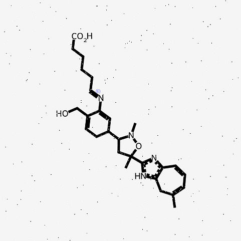 CC1=CC=Cc2nc(C3(C)CC(C4C=C(/N=C/CCCCC(=O)O)C(CO)=CC4)N(C)O3)[nH]c2C1